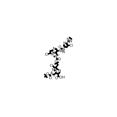 C[C@@H](c1c(NC(=O)Nc2cnc(-n3nccn3)c(Cl)c2)cnc2cc(Cl)nn12)N(C)C(=O)OC(C)(C)Cc1c(Cl)nn2c([C@H](C)N(C)C(=O)OC(C)(C)C)c(C(=O)O)cnc12